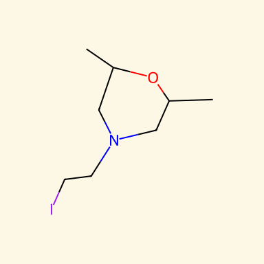 CC1CN(CCI)CC(C)O1